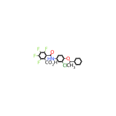 CC(Oc1ccc(NC(=O)c2c(F)c(F)c(F)c(F)c2C(=O)O)cc1Cl)c1ccccc1